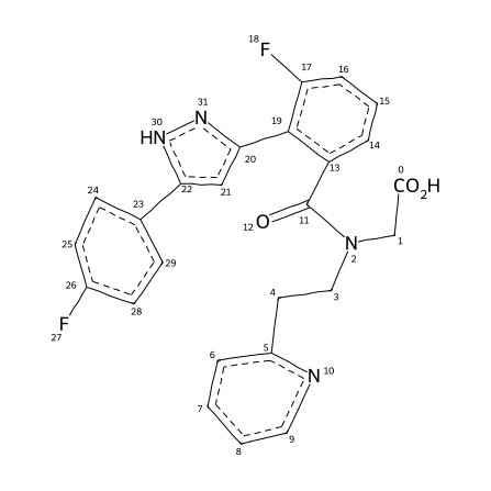 O=C(O)CN(CCc1ccccn1)C(=O)c1cccc(F)c1-c1cc(-c2ccc(F)cc2)[nH]n1